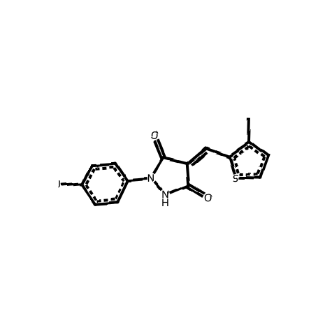 Cc1ccsc1C=C1C(=O)NN(c2ccc(I)cc2)C1=O